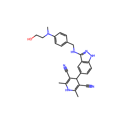 CC1=C(C#N)C(c2ccc3[nH]nc(NCc4ccc(N(C)CCO)cc4)c3c2)C(C#N)=C(C)N1